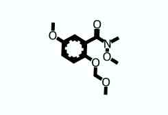 COCOc1ccc(OC)cc1C(=O)N(C)OC